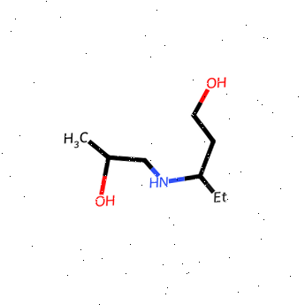 CCC(CCO)NCC(C)O